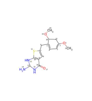 COC1=CC=C(Cc2cc3c(s2)NC(N)NC3=O)C(OC)C1